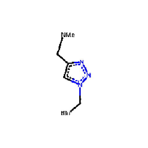 CNCc1cn(CC(C)(C)C)nn1